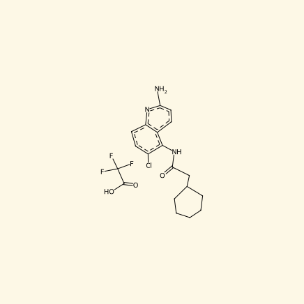 Nc1ccc2c(NC(=O)CC3CCCCC3)c(Cl)ccc2n1.O=C(O)C(F)(F)F